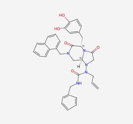 C=CCN(C(=O)NCc1ccccc1)N1CC(=O)N2[C@@H](Cc3ccc(O)c(O)c3)C(=O)N(Cc3cccc4ccccc34)C[C@@H]21